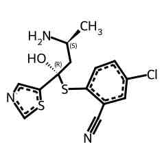 C[C@H](N)C[C@@](O)(Sc1ccc(Cl)cc1C#N)c1cncs1